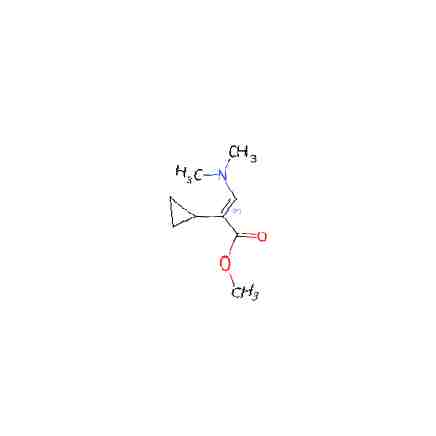 COC(=O)/C(=C/N(C)C)C1CC1